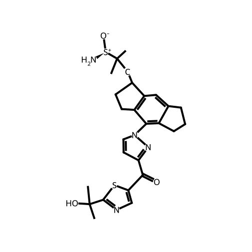 CC(C)(O)c1ncc(C(=O)c2ccn(-c3c4c(cc5c3CCC5CC(C)(C)[S@@+](N)[O-])CCC4)n2)s1